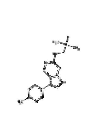 Cc1ccc(-c2c[nH]c3nc(NCC(C)(C)F)ncc23)cn1